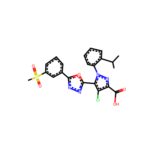 CC(C)c1ccccc1-n1nc(C(=O)O)c(Cl)c1-c1nnc(-c2cccc(S(C)(=O)=O)c2)o1